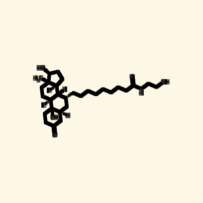 C[C@]12CCC(=O)C[C@@H]1C[C@@H](CCCCCCCCC(=O)NCCO)[C@@H]1[C@@H]2CC[C@]2(C)[C@@H](O)CC[C@@H]12